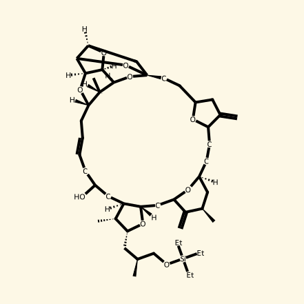 C=C1CC2CC[C@@]34C[C@H]5O[C@H]6[C@@H](O3)[C@@H](C)[C@H](C/C=C/CC(O)C[C@@H]3[C@@H](C)[C@@H](C[C@H](C)CO[Si](CC)(CC)CC)O[C@H]3CC3O[C@@H](CCC1O2)C[C@@H](C)C3=C)O[C@H]6C5O4